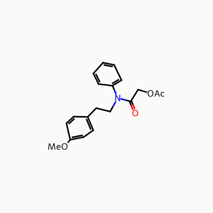 COc1ccc(CCN(C(=O)COC(C)=O)c2ccccc2)cc1